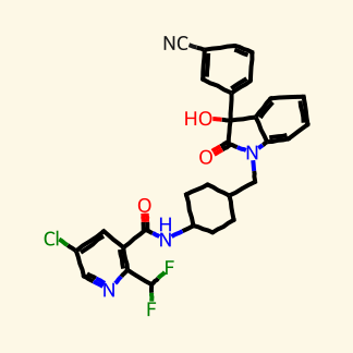 N#Cc1cccc(C2(O)C(=O)N(CC3CCC(NC(=O)c4cc(Cl)cnc4C(F)F)CC3)c3ccccc32)c1